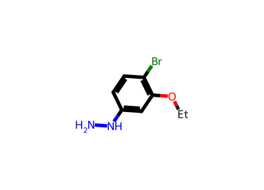 CCOc1cc(NN)ccc1Br